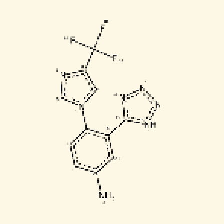 Nc1ccc(-n2cnc(C(F)(F)F)c2)c(-c2nnn[nH]2)c1